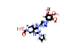 COc1cc(-n2cnc(Nc3nc(N4CCCC4)nc4c3CCN(C(=O)O)C4)c2)cc(OC)c1OC